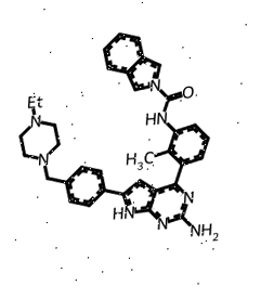 CCN1CCN(Cc2ccc(-c3cc4c(-c5cccc(NC(=O)n6cc7ccccc7c6)c5C)nc(N)nc4[nH]3)cc2)CC1